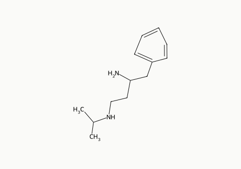 CC(C)NCCC(N)Cc1ccccc1